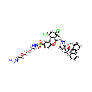 CC(C)(C)[Si](O[C@@H]1CCN([C@H]2Cc3c(Cl)cc(Cl)cc3[C@@H]2Oc2ccc(S(=O)(=O)NCCOCCOCCN)cc2)C1)(c1ccccc1)c1ccccc1